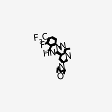 Cc1nnc(N[C@H](C)c2cccc(C(F)(F)F)c2F)c2cc(N3C4COCC3C4)cnc12